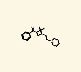 CC1(C)[C@@H](CCN2CCCCC2)C[C@H]1C(=O)c1ccccc1